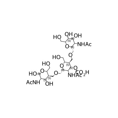 CC(=O)NC1[C@H](COC[C@@H]2C(CO)O[C@@H](COC[C@@H]3C(CO)O[C@@H](O)C(NC(C)=O)[C@H]3O)C(NC(C)=O)[C@H]2OC(=O)O)OC(CO)[C@@H](O)[C@@H]1O